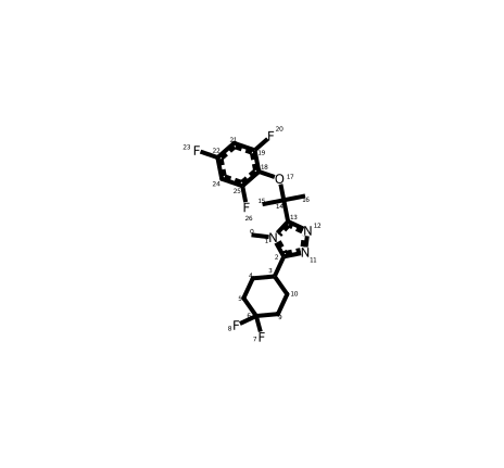 Cn1c(C2CCC(F)(F)CC2)nnc1C(C)(C)Oc1c(F)cc(F)cc1F